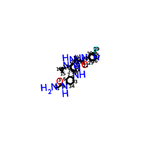 NCC(=O)N[C@H]1CC[C@H](Nc2cc(NC3CC3)c3ncc(C(=O)Nc4ccnc(F)c4)n3n2)CC1